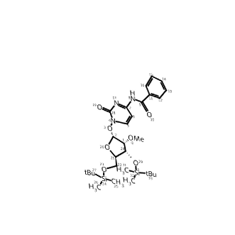 CO[C@H]1[C@@H](On2ccc(NC(=O)c3ccccc3)nc2=O)O[C@H](CO[Si](C)(C)C(C)(C)C)[C@H]1O[Si](C)(C)C(C)(C)C